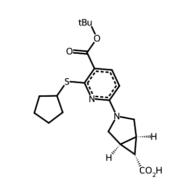 CC(C)(C)OC(=O)c1ccc(N2C[C@@H]3[C@H](C2)[C@H]3C(=O)O)nc1SC1CCCC1